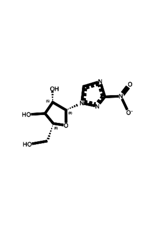 O=[N+]([O-])c1ncn([C@@H]2O[C@H](CO)C(O)[C@@H]2O)n1